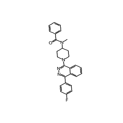 CN(C(=O)c1ccccc1)C1CCN(c2nnc(-c3ccc(F)cc3)c3ccccc23)CC1